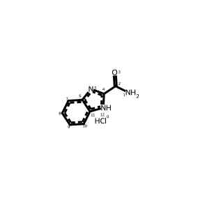 Cl.NC(=O)c1nc2ccccc2[nH]1